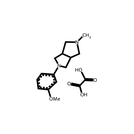 COc1cccc(N2CC3CN(C)CC3C2)c1.O=C(O)C(=O)O